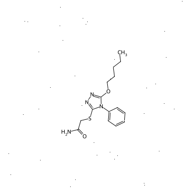 CCCCCOc1nnc(SCC(N)=O)n1-c1ccccc1